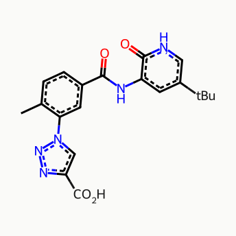 Cc1ccc(C(=O)Nc2cc(C(C)(C)C)c[nH]c2=O)cc1-n1cc(C(=O)O)nn1